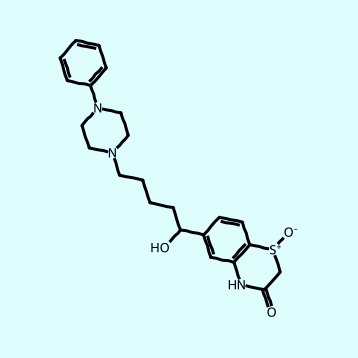 O=C1C[S+]([O-])c2ccc(C(O)CCCCN3CCN(c4ccccc4)CC3)cc2N1